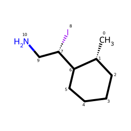 C[C@@H]1CCCCC1[C@@H](I)CN